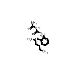 CCCCCC.Clc1ccccc1Cl.N=C(N)NC(=N)N